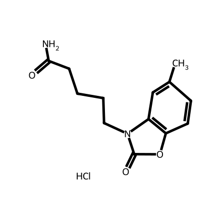 Cc1ccc2oc(=O)n(CCCCC(N)=O)c2c1.Cl